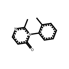 Cc1ccccc1-n1c(C)nccc1=O